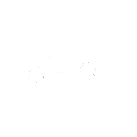 Cc1ccc(OCCC(c2ccccc2)N(C)C)cc1